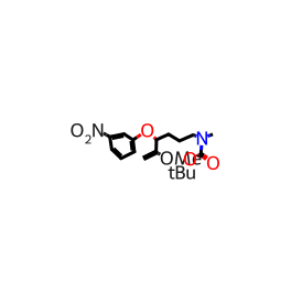 C=C(OC)C(CCCN(C)C(=O)OC(C)(C)C)Oc1cccc([N+](=O)[O-])c1